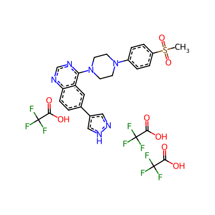 CS(=O)(=O)c1ccc(N2CCN(c3ncnc4ccc(-c5cn[nH]c5)cc34)CC2)cc1.O=C(O)C(F)(F)F.O=C(O)C(F)(F)F.O=C(O)C(F)(F)F